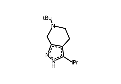 CC(C)c1[nH]nc2c1CCN(C(C)(C)C)C2